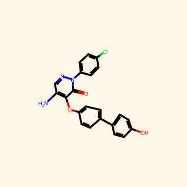 Nc1cnn(-c2ccc(Cl)cc2)c(=O)c1Oc1ccc(-c2ccc(O)cc2)cc1